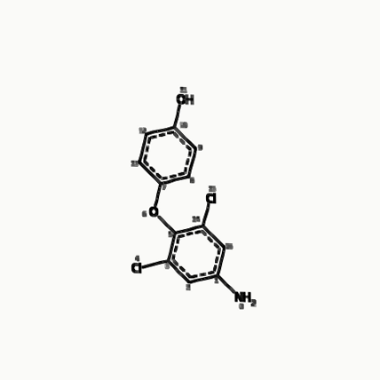 Nc1cc(Cl)c(Oc2ccc(O)cc2)c(Cl)c1